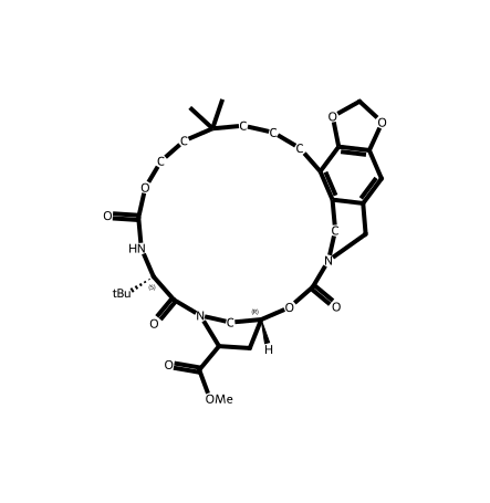 COC(=O)C1C[C@@H]2CN1C(=O)[C@H](C(C)(C)C)NC(=O)OCCC(C)(C)CCCc1c3c(cc4c1OCO4)CN(C3)C(=O)O2